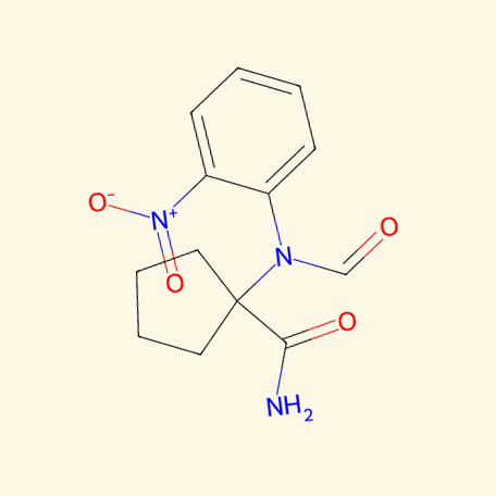 NC(=O)C1(N(C=O)c2ccccc2[N+](=O)[O-])CCCC1